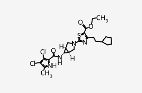 CCOC(=O)c1sc(N2C[C@@H]3[C@H](C2)[C@H]3NC(=O)c2[nH]c(C)c(Cl)c2Cl)nc1CCC1CCCC1